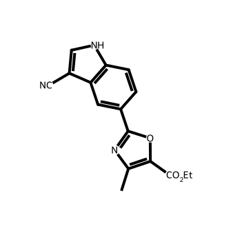 CCOC(=O)c1oc(-c2ccc3[nH]cc(C#N)c3c2)nc1C